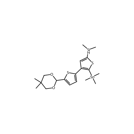 C[SiH](C)c1cc(-c2ccc(C3OCC(C)(C)CO3)s2)[c]([Sn]([CH3])([CH3])[CH3])s1